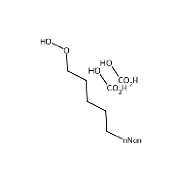 CCCCCCCCCCCCCCOO.O=C(O)O.O=C(O)O